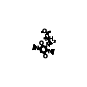 CN.COC(C)=O.O=C1C=C(N2CC2)C(=O)C(N2CC2)=C1N1CC1